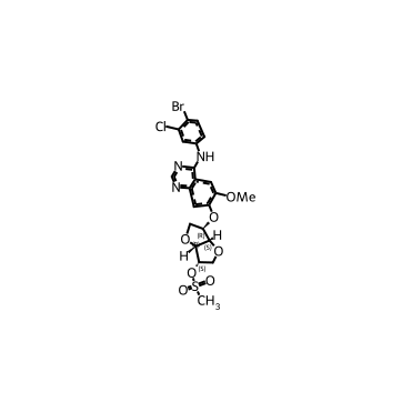 COc1cc2c(Nc3ccc(Br)c(Cl)c3)ncnc2cc1O[C@@H]1CO[C@@H]2[C@H]1OC[C@@H]2OS(C)(=O)=O